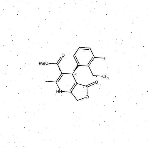 COC(=O)C1=C(C)NC2=C(C(=O)OC2)[C@@H]1c1cccc(F)c1CC(F)(F)F